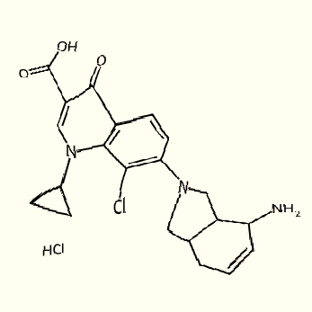 Cl.NC1C=CCC2CN(c3ccc4c(=O)c(C(=O)O)cn(C5CC5)c4c3Cl)CC12